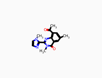 CC(=O)c1cc(C)cc2c(=O)n(C)c(-c3nccn3C)nc12